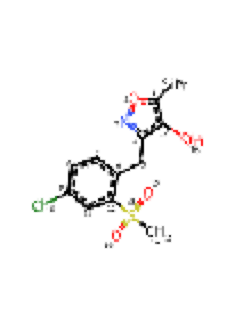 CC(C)c1onc(Cc2ccc(Cl)cc2S(C)(=O)=O)c1O